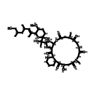 CCC(C)CC(C)CC(C)/C=C(\C)C1OC(O)(C(C)(O)C(=O)NC2C(=O)N3NCCCC3C(=O)N(O)CC(=O)N(C)CC(=O)NCC(=O)N(C)CC(=O)OC2C(C)C)CCC1OC